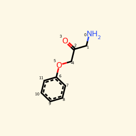 NCC(=O)[CH]Oc1ccccc1